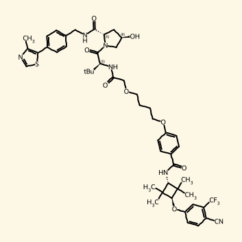 Cc1ncsc1-c1ccc(CNC(=O)[C@@H]2C[C@@H](O)CN2C(=O)[C@@H](NC(=O)COCCCCOc2ccc(C(=O)N[C@H]3C(C)(C)[C@H](Oc4ccc(C#N)c(C(F)(F)F)c4)C3(C)C)cc2)C(C)(C)C)cc1